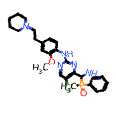 COc1cc(CCN2CCCCC2)ccc1Nc1ncc(Cl)c(C(N)P(C)(=O)c2ccccc2)n1